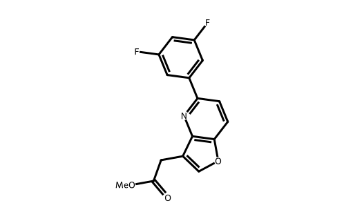 COC(=O)Cc1coc2ccc(-c3cc(F)cc(F)c3)nc12